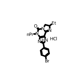 CCCN1C(=O)N2CC(CC)N=C2c2[nH]c(-c3ccc(Br)cc3)nc21.Cl